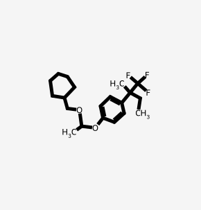 CCC(C)(c1ccc(OC(C)OCC2CCCCC2)cc1)C(F)(F)F